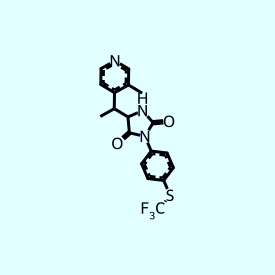 Cc1cnccc1C(C)C1NC(=O)N(c2ccc(SC(F)(F)F)cc2)C1=O